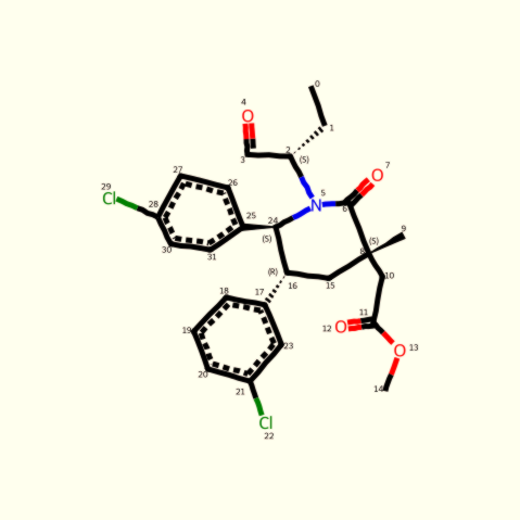 CC[C@@H](C=O)N1C(=O)[C@](C)(CC(=O)OC)C[C@H](c2cccc(Cl)c2)[C@H]1c1ccc(Cl)cc1